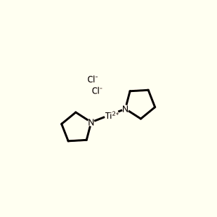 C1CC[N]([Ti+2][N]2CCCC2)C1.[Cl-].[Cl-]